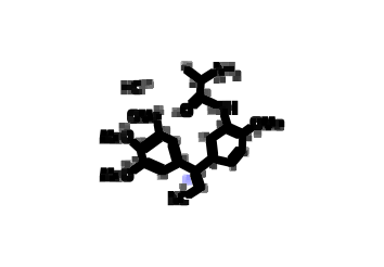 COc1ccc(/C(=C/C#N)c2cc(OC)c(OC)c(OC)c2)cc1NC(=O)C(C)N.Cl